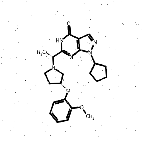 COc1ccccc1O[C@@H]1CCN([C@H](C)c2nc3c(cnn3C3CCCC3)c(=O)[nH]2)C1